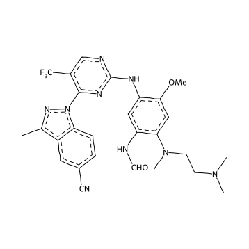 COc1cc(N(C)CCN(C)C)c(NC=O)cc1Nc1ncc(C(F)(F)F)c(-n2nc(C)c3cc(C#N)ccc32)n1